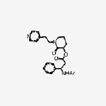 CC(=O)NC(CC(=O)OC1CCCN(CCc2ccncc2)C1=O)c1ccccc1